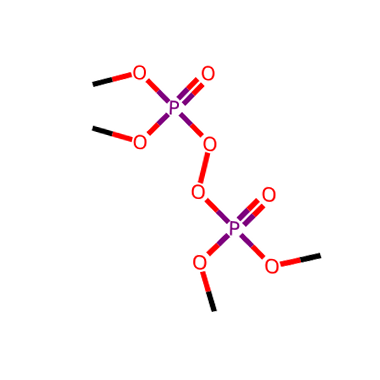 COP(=O)(OC)OOP(=O)(OC)OC